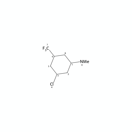 CNC1CC(Cl)CC(C(F)(F)F)C1